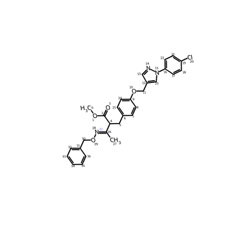 COC(=O)C(Cc1ccc(OCc2cnn(-c3ccc(Cl)cc3)c2)cc1)/C(C)=N/OCc1ccccc1